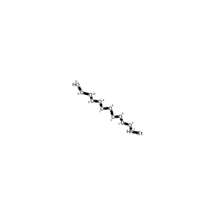 CCNOOOOOOOOOOO